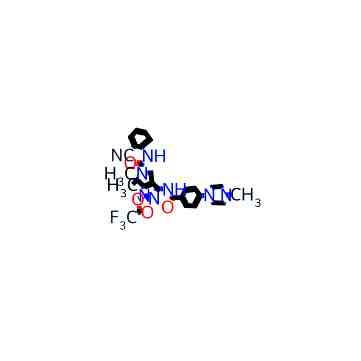 CN1CCN(c2ccc(C(=O)Nc3nn(OC(=O)C(F)(F)F)c4c3CN(C(=O)Nc3ccccc3C#N)C4(C)C)cc2)CC1